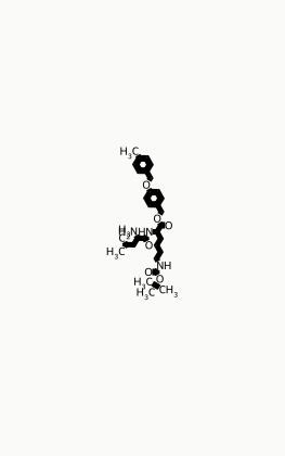 Cc1ccc(COc2ccc(COC(=O)C(CCCCNC(=O)OC(C)(C)C)NC(=O)C(N)CC(C)C)cc2)cc1